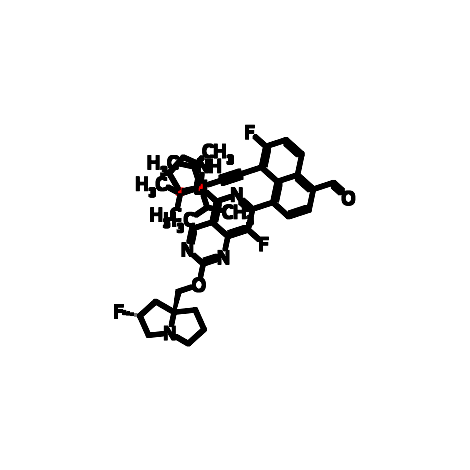 CC(C)[Si](C#Cc1c(F)ccc2c(C=O)ccc(-c3nc(N4CCCN4)c4cnc(OC[C@@]56CCCN5C[C@H](F)C6)nc4c3F)c12)(C(C)C)C(C)C